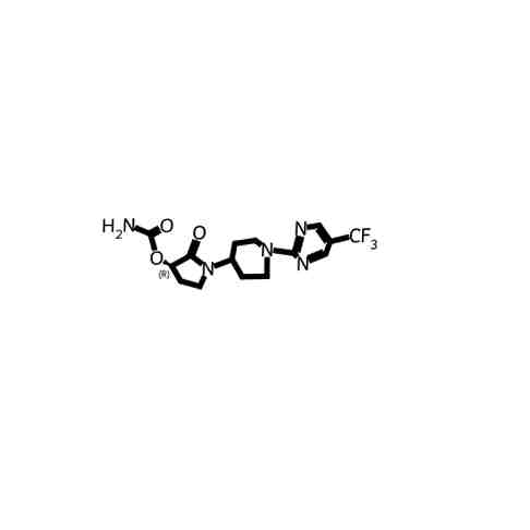 NC(=O)O[C@@H]1CCN(C2CCN(c3ncc(C(F)(F)F)cn3)CC2)C1=O